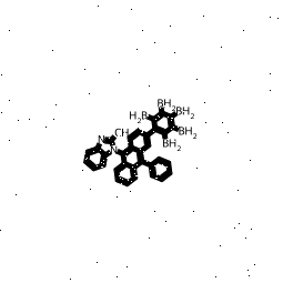 Bc1c(B)c(B)c(-c2ccc3c(-n4c(C)nc5ccccc54)c4ccccc4c(-c4ccccc4)c3c2)c(B)c1B